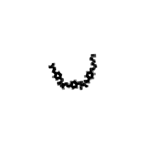 CN(C)N=Cc1ccc(O[PH](=S)N(C)N=Cc2ccc(O[PH](=S)N(C)N=Cc3ccc(O/P=N\P=N\N=P)cc3)cc2)cc1